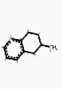 CC1CCc2ncccc2C1